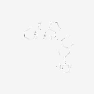 Cc1ccc(NC(=O)c2sccc2NC(=O)c2ccc(C3=NCCN3C)cc2F)nc1